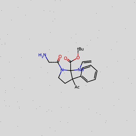 C=CNC1(C(=O)OC(C)(C)C)N(C(=O)CN)CCC1(C(C)=O)c1ccccc1